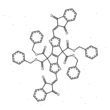 O=C1C(=Cc2cc3c(s2)C2=C(c4sc(C=C5C(=O)c6ccccc6C5=O)cc4C2(C(=O)OCc2ccccc2)C(=O)OCc2ccccc2)C3(C(=O)OCc2ccccc2)C(=O)OCc2ccccc2)C(=O)c2ccccc21